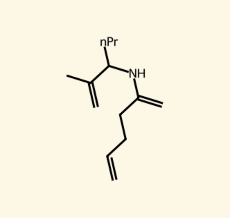 C=CCCC(=C)NC(CCC)C(=C)C